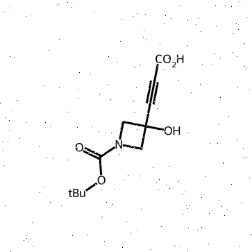 CC(C)(C)OC(=O)N1CC(O)(C#CC(=O)O)C1